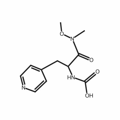 CON(C)C(=O)C(Cc1ccncc1)NC(=O)O